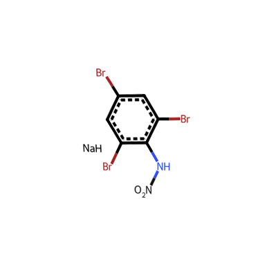 O=[N+]([O-])Nc1c(Br)cc(Br)cc1Br.[NaH]